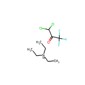 CC[SiH](CC)CC.O=C(C(Cl)Cl)C(F)(F)F